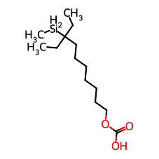 CCC(CC)(CCCCCCCOC(=O)O)[SiH2]C